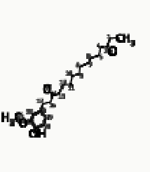 CCC(=O)CCCCCCCCCCC(=O)CCc1ccc(O)c(OC)c1